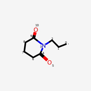 [CH2]CCN1C(=O)CCCC1=O